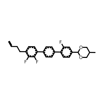 C=CCCc1ccc(-c2ccc(-c3ccc(C4OCC(C)CO4)cc3F)cc2)c(F)c1F